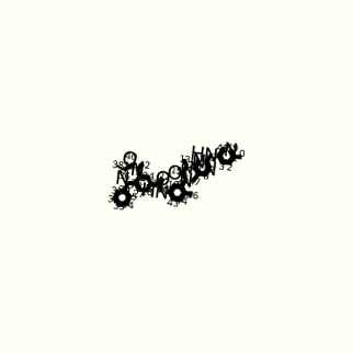 Cc1ccc(Nc2ncc3c(n2)N(C)C(=O)N(c2cc(NC(=O)C4C=C5C(=CC4)C(c4ccccc4)=N[C@@H](C)C(=O)N5C)ccc2C)C3)cn1